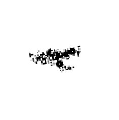 COc1cc(F)c([C@@H]2CN(c3nccc(N4C[C@@H](C)N(C)[C@@H](C)C4)c3C(F)(F)F)C(=O)C2CNC(=O)N[C@H]2CC[C@H](C(F)F)CC2)c(F)c1